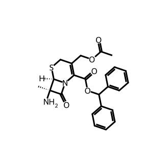 CC(=O)OCC1=C(C(=O)OC(c2ccccc2)c2ccccc2)N2C(=O)[C@@](C)(N)[C@H]2SC1